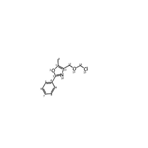 Cc1oc(-c2ccccc2)nc1COCCl